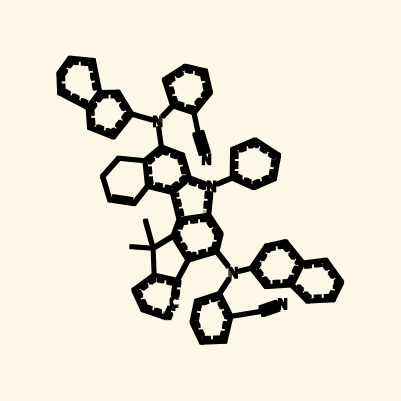 CC1(C)c2ccccc2-c2c(N(c3ccc4ccccc4c3)c3ccccc3C#N)cc3c(c21)c1c2c(c(N(c4ccc5ccccc5c4)c4ccccc4C#N)cc1n3-c1ccccc1)CCC=C2